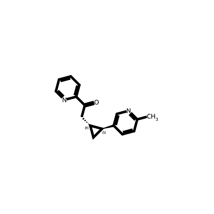 Cc1ccc([C@H]2C[C@@H]2CC(=O)c2ccccn2)cn1